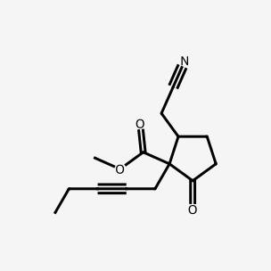 CCC#CCC1(C(=O)OC)C(=O)CCC1CC#N